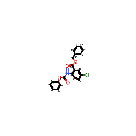 O=C(Nc1ccc(Cl)cc1C(=O)OCc1ccccc1)Oc1ccccc1